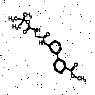 COC(=O)c1cccc(-c2cccc(NC(=O)CNC(=O)OC(C)(C)C)c2)c1